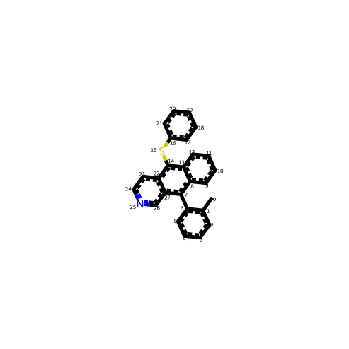 Cc1ccccc1-c1c2ccccc2c(Sc2ccccc2)c2ccncc12